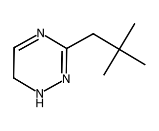 CC(C)(C)CC1=NNCC=N1